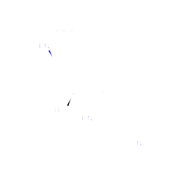 C[C@]1(C(=O)Nc2ccncc2)CC[C@H](NC=O)CC1